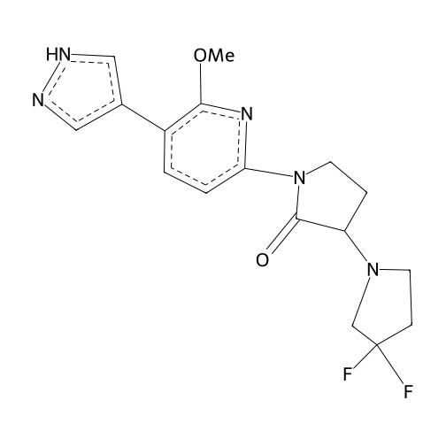 COc1nc(N2CCC(N3CCC(F)(F)C3)C2=O)ccc1-c1cn[nH]c1